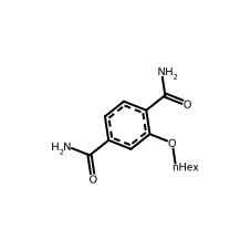 CCCCCCOc1cc(C(N)=O)ccc1C(N)=O